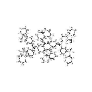 CC1(C)c2ccccc2-c2ccc(N(C3=CC=C4c5ccccc5C(C)(C)C4C3)c3ccc4c(-c5cccc6ccccc56)c5cc(N(c6ccc7c(c6)C(C)(C)c6ccccc6-7)c6ccc7c(c6)C(C)(C)c6ccccc6-7)ccc5c(-c5cccc6ccccc56)c4c3)cc21